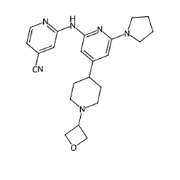 N#Cc1ccnc(Nc2cc(C3CCN(C4COC4)CC3)cc(N3CCCC3)n2)c1